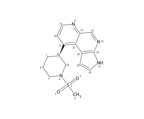 CS(=O)(=O)N1CCC[C@@H](c2ccnc3cnc4[nH]ccc4c23)C1